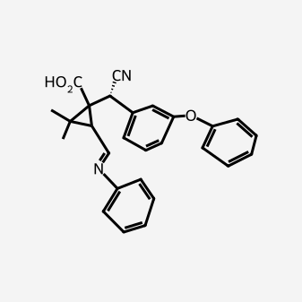 CC1(C)C(C=Nc2ccccc2)C1(C(=O)O)[C@H](C#N)c1cccc(Oc2ccccc2)c1